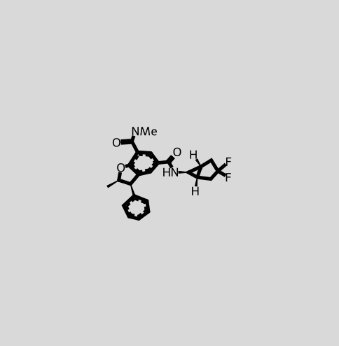 CNC(=O)c1cc(C(=O)N[C@H]2[C@@H]3CC(F)(F)C[C@@H]32)cc2c1O[C@H](C)[C@@H]2c1ccccc1